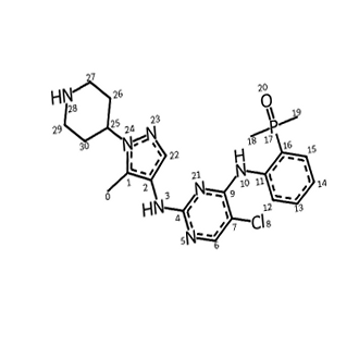 Cc1c(Nc2ncc(Cl)c(Nc3ccccc3P(C)(C)=O)n2)cnn1C1CCNCC1